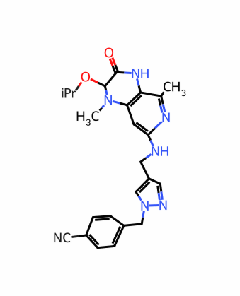 Cc1nc(NCc2cnn(Cc3ccc(C#N)cc3)c2)cc2c1NC(=O)C(OC(C)C)N2C